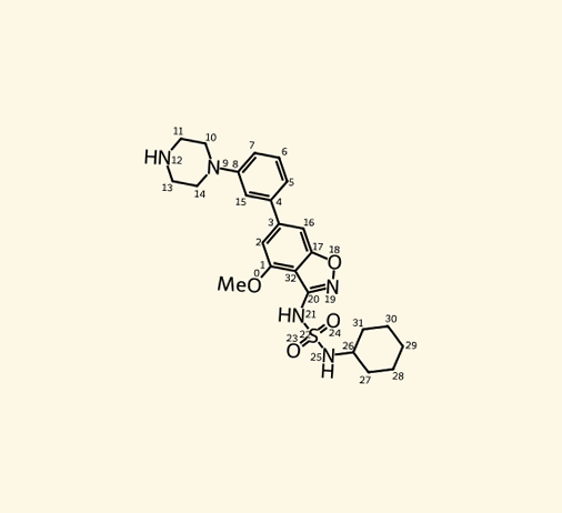 COc1cc(-c2cccc(N3CCNCC3)c2)cc2onc(NS(=O)(=O)NC3CCCCC3)c12